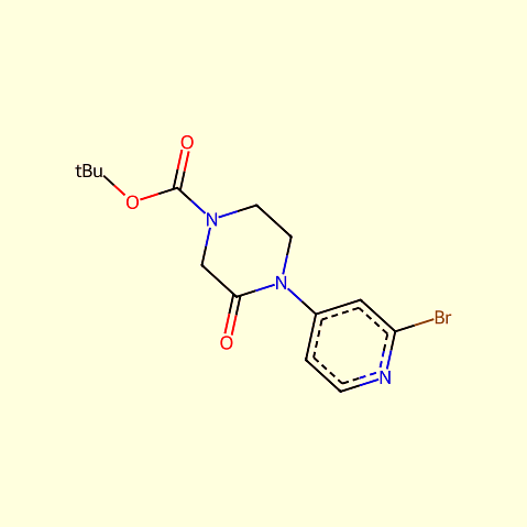 CC(C)(C)OC(=O)N1CCN(c2ccnc(Br)c2)C(=O)C1